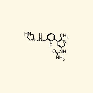 Cc1ncc(NC(N)=O)cc1-c1cccc(CNC[C@@H]2CCNC2)c1F